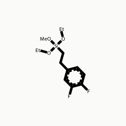 CCO[Si](CCc1ccc(F)c(F)c1)(OC)OCC